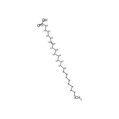 CCCCCCCCCCCCCCCCCCC=CCCCCCC(=O)O